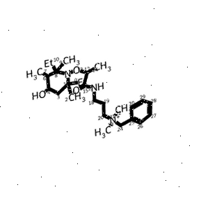 CCC1(C)CC(O)C(C)C(C)(CC)N1OC(C)C(=O)NCCC[N+](C)(C)Cc1ccccc1